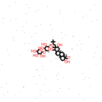 CC1C2=CCC3C4(C)CCC(O)C(C)(C=O)[C@@H]4CC[C@@]3(C)[C@]2(C)C[C@@H](O)C1(CCC(C)(C)C)C(=O)OC[C@@H]1O[C@H](C)C(O[C@@H]2OC[C@@H](O)C(O)C2O)C(O)C1O